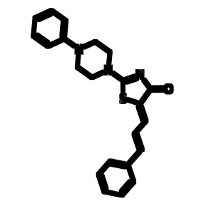 O=C1N=C(N2CCN(c3ccccc3)CC2)SC1=CC=Cc1ccccc1